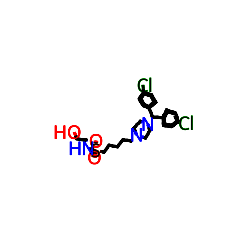 O=S(=O)(CCCCCN1CCN(C(c2ccc(Cl)cc2)c2ccc(Cl)cc2)CC1)NCCO